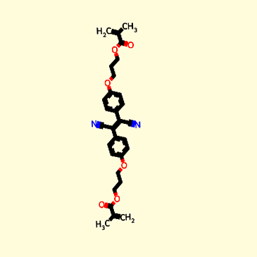 C=C(C)C(=O)OCCCOc1ccc(C(C#N)=C(C#N)c2ccc(OCCCOC(=O)C(=C)C)cc2)cc1